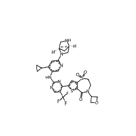 O=C1c2sc(-c3nc(Nc4cnc(N5C[C@H]6C[C@@H]5CN6)cc4C4CC4)ncc3C(F)(F)F)cc2S(=O)(=O)CCN1C1COC1